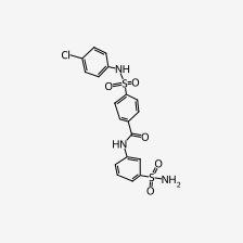 NS(=O)(=O)c1cccc(NC(=O)c2ccc(S(=O)(=O)Nc3ccc(Cl)cc3)cc2)c1